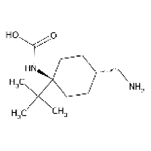 CC(C)(C)[C@]1(NC(=O)O)CC[C@H](CN)CC1